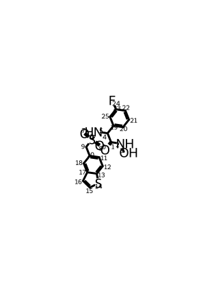 O=C(NO)C(NS(=O)(=O)Cc1ccc2sccc2c1)c1cccc(F)c1